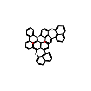 c1ccc(-c2ccccc2N(c2ccc3oc4cccc5cccc(c6cccc2c36)c54)c2ccc3oc4cccc5cccc(c6cccc2c36)c54)cc1